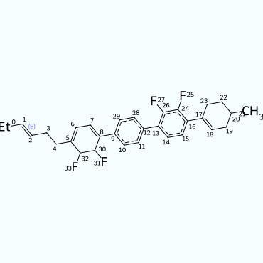 CC/C=C/CCC1=CC=C(c2ccc(-c3ccc(C4=CCC(C)CC4)c(F)c3F)cc2)C(F)C1F